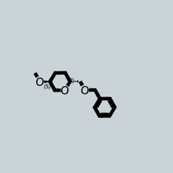 CO[C@H]1CC[C@H](COCc2ccccc2)OC1